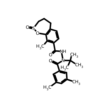 Cc1cc(C)cc(C(=O)N(NC(=O)c2ccc3c(c2C)OS(=O)CCC3)C(C)(C)C)c1